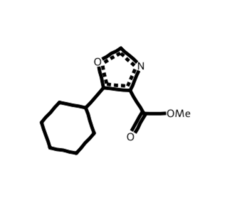 COC(=O)c1ncoc1C1CCCCC1